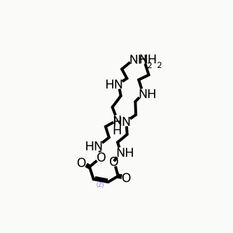 NCCNCCNCCNOC(=O)/C=C\C(=O)ONCCNCCNCCN